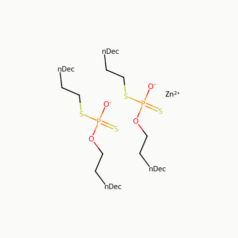 CCCCCCCCCCCCOP([O-])(=S)SCCCCCCCCCCCC.CCCCCCCCCCCCOP([O-])(=S)SCCCCCCCCCCCC.[Zn+2]